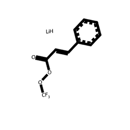 O=C(C=Cc1ccccc1)OOC(F)(F)F.[LiH]